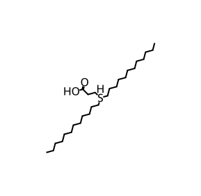 CCCCCCCCCCCC[SH](CCCCCCCCCCCC)CCC(=O)O